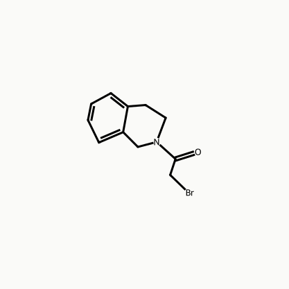 O=C(CBr)N1CCc2ccccc2C1